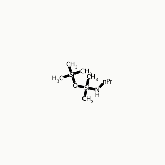 CCCN[Si](C)(C)O[Si](C)(C)C